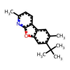 Cc1ccc2c(n1)oc1cc(C(C)(C)C)c(C)cc12